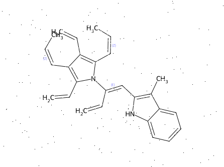 C=C/C(=C\c1[nH]c2ccccc2c1C)n1c(C=C)c(/C=C\C)c(C=C)c1/C=C\C